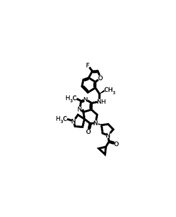 Cc1nc(N[C@H](C)c2cccc3c(F)coc23)c2c(n1)C1(CCN(C)C1)C(=O)N([C@@H]1CCN(C(=O)C3CC3)C1)C2